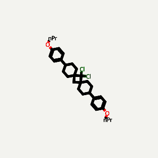 CCCOc1ccc(C2CCC3(CC2)CC2(CCC(c4ccc(OCCC)cc4)CC2)C3(Cl)Cl)cc1